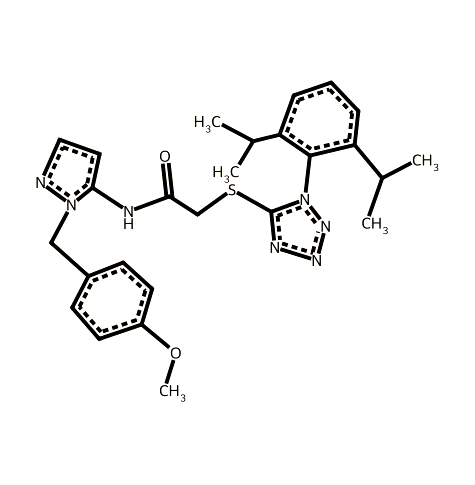 COc1ccc(Cn2nccc2NC(=O)CSc2nnnn2-c2c(C(C)C)cccc2C(C)C)cc1